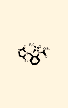 CCC1COC(=O)N1Cc1ccccc1N(C(=O)OCC(C)C)S(=O)(=O)C(F)(F)F